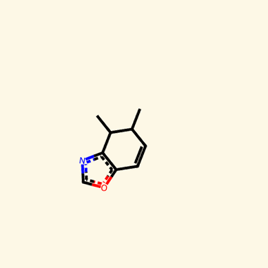 CC1C=Cc2ocnc2C1C